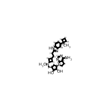 CN(C[C@H]1C[C@@H](N2CCc3c(N)ncnc32)[C@H](O)[C@@H]1O)C1CC(CCc2nc3cc(C4(C)CCC4)ccc3[nH]2)C1